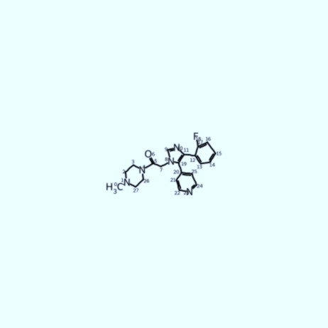 CN1CCN(C(=O)Cn2cnc(-c3ccccc3F)c2-c2ccncc2)CC1